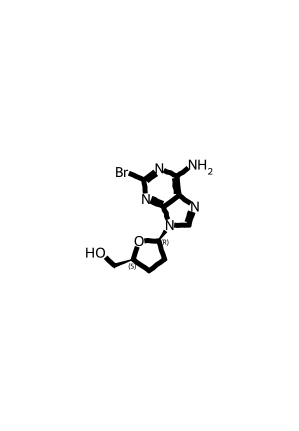 Nc1nc(Br)nc2c1ncn2[C@H]1CC[C@@H](CO)O1